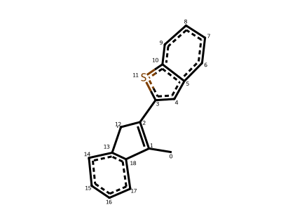 CC1=C(c2cc3ccccc3s2)[CH]c2ccccc21